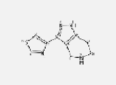 c1nc(-c2n[nH]c3c2CNCC3)cs1